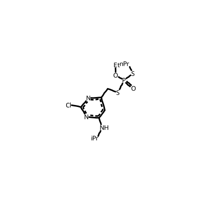 CCCSP(=O)(OCC)SCc1cc(NC(C)C)nc(Cl)n1